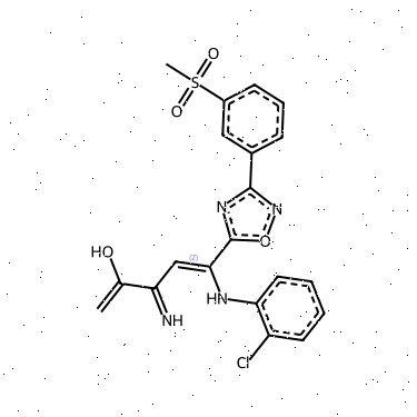 C=C(O)C(=N)/C=C(\Nc1ccccc1Cl)c1nc(-c2cccc(S(C)(=O)=O)c2)no1